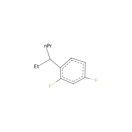 C[CH]CC(CC)c1ccc(F)cc1F